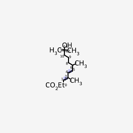 CCOC(=O)/C=C(C)/C=C/C(C)CCCC(C)(C)O